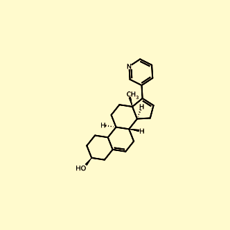 C[C@]12CC[C@@H]3C4CC[C@H](O)CC4=CC[C@H]3[C@@H]1CC=C2c1cccnc1